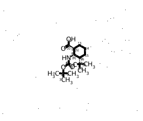 CC(C)(C)OC(=O)N[C@H]1[C@@H](C(=O)O)CCC[C@@H]1C(C)(C)C